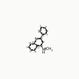 CNc1cc(-c2ccccn2)nc2ccccc12